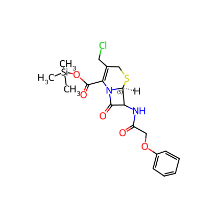 C[Si](C)(C)OC(=O)C1=C(CCl)CS[C@H]2C(NC(=O)COc3ccccc3)C(=O)N12